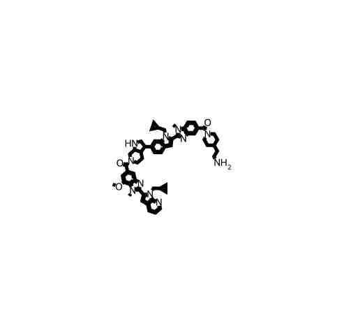 COc1cc(C(=O)N2CCC3C(C2)NCC3c2ccc3cc(-c4nc5cc(C(=O)N6CCC(CCN)CC6)ccc5n4C)n(CC4CC4)c3c2)cc2nc(-c3cc4cccnc4n3CC3CC3)n(C)c12